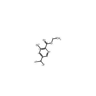 CCOC(=O)c1ncc(C(F)F)cc1Cl